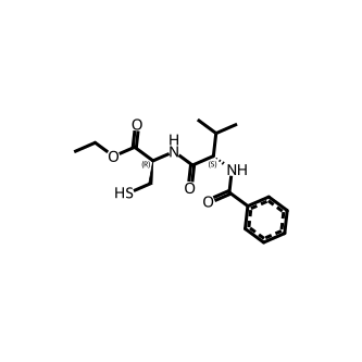 CCOC(=O)[C@H](CS)NC(=O)[C@@H](NC(=O)c1ccccc1)C(C)C